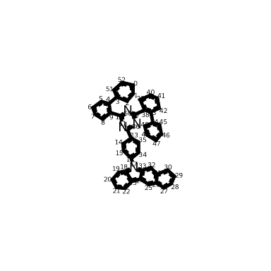 c1ccc(-c2ccccc2-c2nc(-c3ccc(-n4c5ccccc5c5cc6ccccc6cc54)cc3)nc(-c3ccccc3-c3ccccc3)n2)cc1